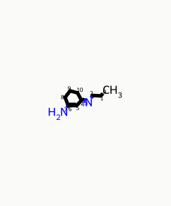 CCC/N=C1/C=C(N)CCC1